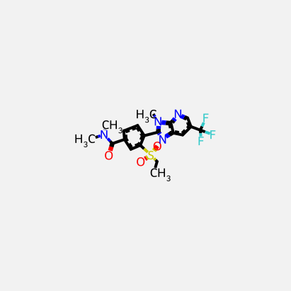 CCS(=O)(=O)c1cc(C(=O)N(C)C)ccc1-c1nc2cc(C(F)(F)F)cnc2n1C